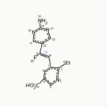 CCc1ncc(C(=O)O)cc1/C=C(\F)c1cnc(N)nc1